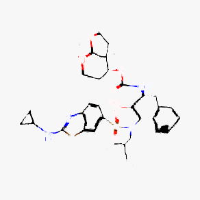 CC(C)CN(C[C@@H](O)[C@H](Cc1ccccc1)NC(=O)O[C@H]1CCO[C@H]2OCC[C@H]21)S(=O)(=O)c1ccc2nc(NC3CC3)sc2c1